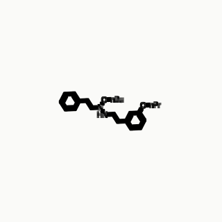 CCCCON(CCc1ccccc1)NCCc1cccc(OCCC)c1